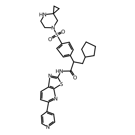 O=C(Nc1nc2ccc(-c3ccncc3)nc2s1)C(CC1CCCC1)c1ccc(S(=O)(=O)N2CCNC3(CC3)C2)cc1